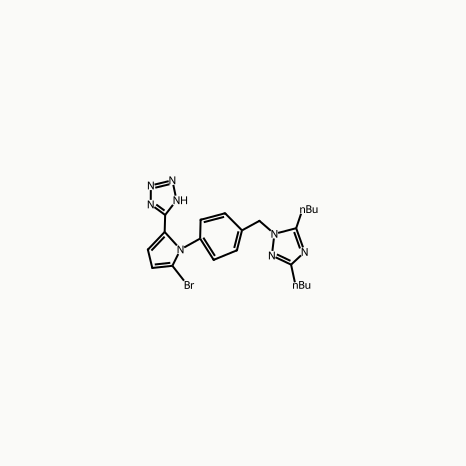 CCCCc1nc(CCCC)n(Cc2ccc(-n3c(Br)ccc3-c3nnn[nH]3)cc2)n1